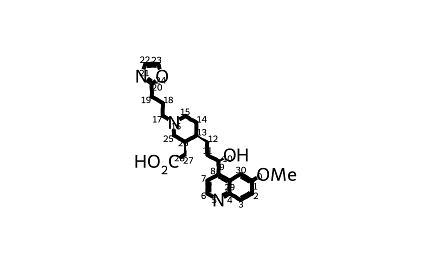 COc1ccc2nccc([C@H](O)CC[C@@H]3CCN(CCCc4ncco4)C[C@@H]3CC(=O)O)c2c1